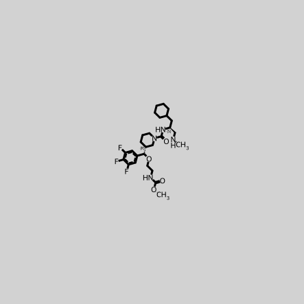 CNC[C@H](CC1CCCCC1)NC(=O)N1CCC[C@@H](C(OCCNC(=O)OC)c2cc(F)c(F)c(F)c2)C1